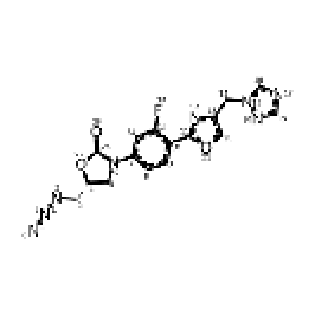 [N-]=[N+]=NC[C@H]1CN(c2ccc(-c3nc(Cn4cncn4)co3)c(F)c2)C(=O)O1